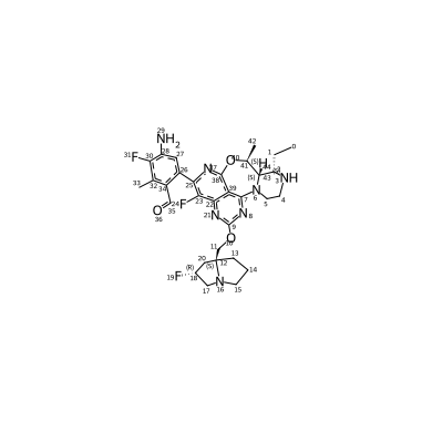 CC[C@@H]1NCCN2c3nc(OC[C@@]45CCCN4C[C@H](F)C5)nc4c(F)c(-c5cc(N)c(F)c(C)c5C=O)nc(c34)O[C@@H](C)[C@H]12